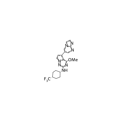 COc1nc(N[C@H]2CC[C@@H](C(F)(F)F)CC2)nn2ccc(-c3cnc4nccn4c3)c12